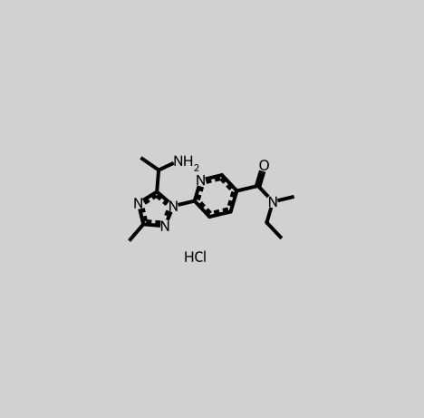 CCN(C)C(=O)c1ccc(-n2nc(C)nc2C(C)N)nc1.Cl